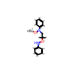 CCCCON(CC(C)(C)ONc1ccccc1)c1ccccc1